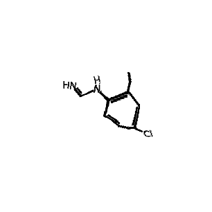 Cc1cc(Cl)ccc1NC=N